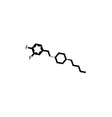 CCCCC[C@H]1CC[C@H](CCc2ccc(F)c(F)c2)CC1